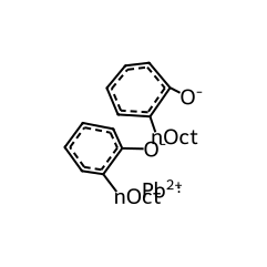 CCCCCCCCc1ccccc1[O-].CCCCCCCCc1ccccc1[O-].[Pb+2]